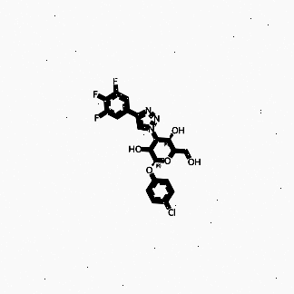 OCC1O[C@H](Oc2ccc(Cl)cc2)C(O)C(n2cc(-c3cc(F)c(F)c(F)c3)nn2)[C@H]1O